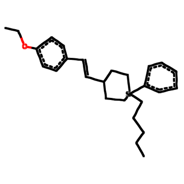 CCCCC[Si]1(c2ccccc2)CCC(C=Cc2ccc(OCC)cc2)CC1